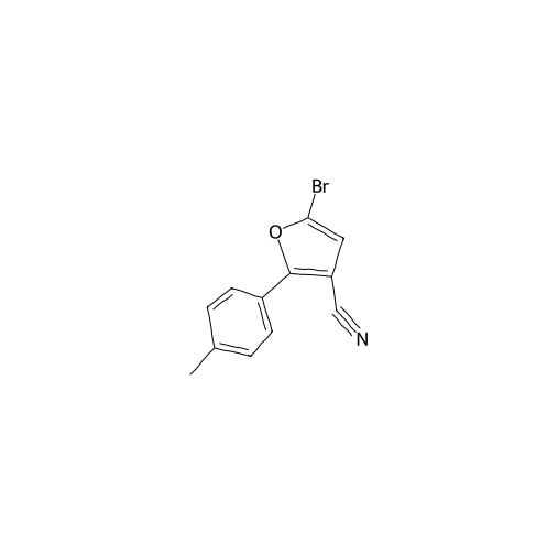 Cc1ccc(-c2oc(Br)cc2C#N)cc1